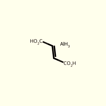 O=C(O)C=CC(=O)O.[AlH3]